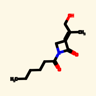 CCCCCC(=O)N1CC(=C(C)CO)C1=O